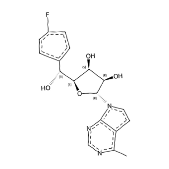 Cc1ncnc2c1ccn2[C@@H]1O[C@@H]([C@H](O)c2ccc(F)cc2)[C@@H](O)[C@H]1O